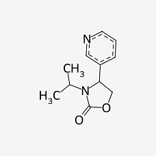 CC(C)N1C(=O)OCC1c1cccnc1